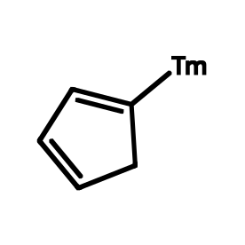 [Tm][C]1=CC=CC1